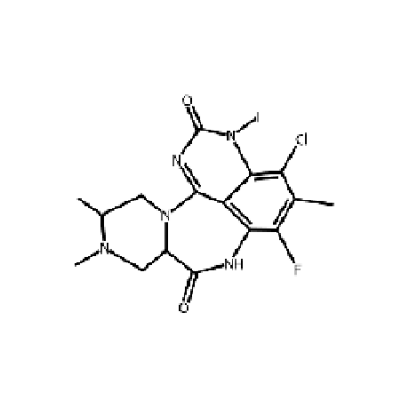 Cc1c(F)c2c3c(nc(=O)n(I)c3c1Cl)N1CC(C)N(C)CC1C(=O)N2